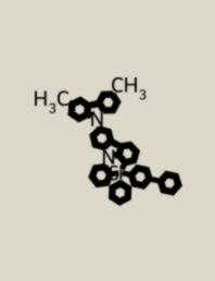 Cc1ccc2c(c1)c1cc(C)ccc1n2-c1ccc2c(c1)c1cccc3c1n2-c1ccccc1[Si]3(c1ccccc1)c1ccc(-c2ccccc2)cc1